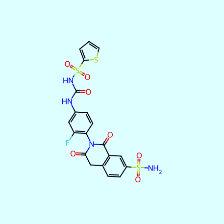 NS(=O)(=O)c1ccc2c(c1)C(=O)N(c1ccc(NC(=O)NS(=O)(=O)c3cccs3)cc1F)C(=O)C2